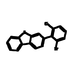 Clc1cccc(Br)c1-c1ccc2c(c1)sc1ccccc12